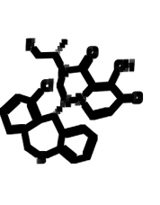 C[C@@H](CF)N1CN([C@@H]2c3ccccc3SCc3cccc(Cl)c32)n2ccc(=O)c(O)c2C1=O